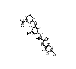 CC(=O)N1CCCC(Oc2cc(F)cc(CNC(=O)Nc3ccc(C)nc3)c2)C1